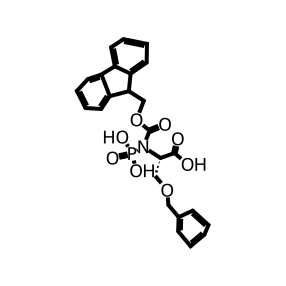 O=C(O)[C@H](COCc1ccccc1)N(C(=O)OCC1c2ccccc2-c2ccccc21)P(=O)(O)O